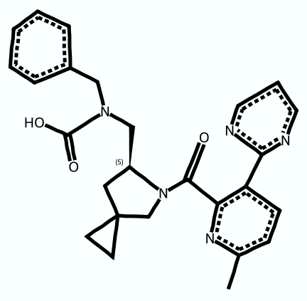 Cc1ccc(-c2ncccn2)c(C(=O)N2CC3(CC3)C[C@H]2CN(Cc2ccccc2)C(=O)O)n1